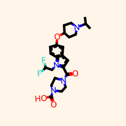 CC(C)N1CCC(Oc2ccc3c(c2)cc(C(=O)N2CCN(C(=O)O)CC2)n3CC(F)F)CC1